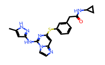 Cc1cc(Nc2nc(Sc3cccc(CC(=O)NC4CC4)c3)cc3nccn23)n[nH]1